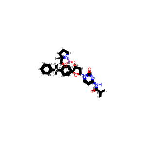 CC[C@H]1O[C@@H](n2ccc(NC(=O)C(C)C)nc2=O)CC1O[P@@]1O[C@H](C[Si](C)(c2ccccc2)c2ccccc2)[C@@H]2CCCN21